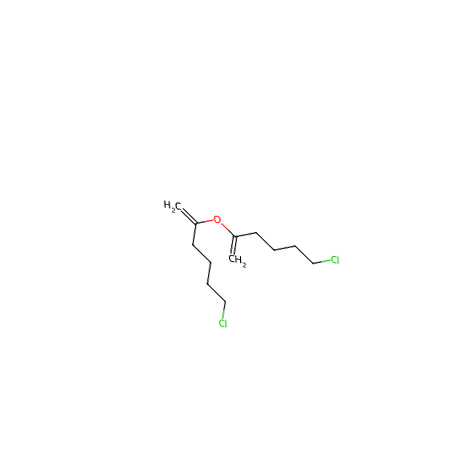 C=C(CCCCCl)OC(=C)CCCCCl